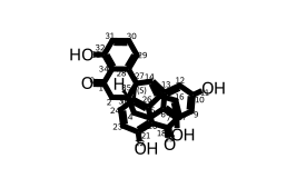 O=C1C[C@H]2CCc3c(O)cc(O)cc3C3=C4C=CC(=O)c5c(O)ccc(c54)[C@@]32c2cccc(O)c21